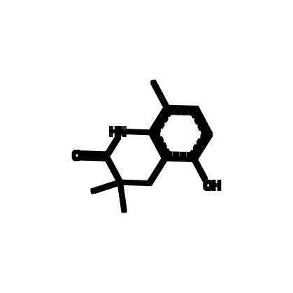 Cc1ccc(O)c2c1NC(=O)C(C)(C)C2